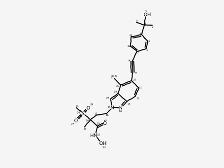 CC(C)(O)c1ccc(C#Cc2ccc3nn(CCC(C)(C(=O)NO)S(C)(=O)=O)cc3c2F)cc1